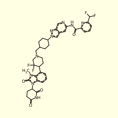 Cn1c(=O)n(C2CCC(=O)NC2=O)c2cccc(C3CCN(CC4CCC(n5cc6cc(NC(=O)c7cccc(C(F)F)n7)ncc6n5)CC4)CC3(F)F)c21